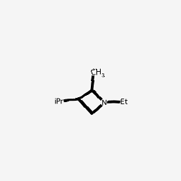 CCN1CC(C(C)C)C1C